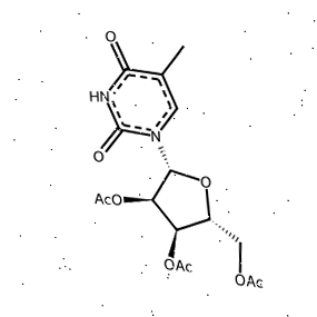 CC(=O)OC[C@H]1O[C@@H](n2cc(C)c(=O)[nH]c2=O)[C@H](OC(C)=O)[C@@H]1OC(C)=O